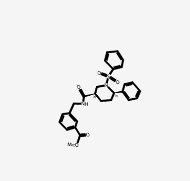 COC(=O)c1cccc(CNC(=O)[C@@H]2CC[C@H](c3ccccc3)N(S(=O)(=O)c3ccccc3)C2)c1